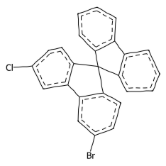 Clc1ccc2c(c1)-c1cc(Br)ccc1C21c2ccccc2-c2ccccc21